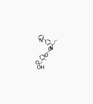 CCCC(=NOCCOc1cccc(CC(=O)O)c1C)c1ccc(-c2ccccn2)cc1